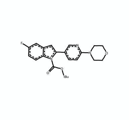 CC(C)(C)OC(=O)n1c(-c2ccc(N3CCOCC3)nc2)cc2cc(F)ccc21